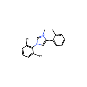 Cc1ccccc1-c1cn(-c2c(C(C)C)cccc2C(C)C)c[n+]1C